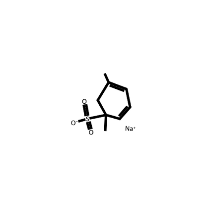 CC1=CC=CC(C)(S(=O)(=O)[O-])C1.[Na+]